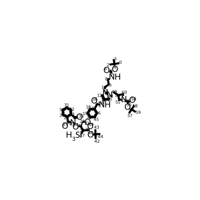 CC(C)(C)OC(=O)NCCCn1cc(NC(=O)c2ccc(OC[C@H](ON3C(=O)c4ccccc4C3=O)C([SiH3])C(=O)OC(C)(C)C)cc2)c[n+]1CC1CN(C(=O)OC(C)(C)C)C1